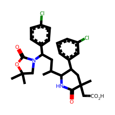 CC(CC(c1ccc(Cl)cc1)N1CC(C)(C)OC1=O)C1NC(=O)C(C)(CC(=O)O)CC1c1cccc(Cl)c1